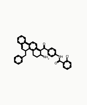 NC1CCc2c3c(ccc2=C1C(=O)c1ccc(NC(=O)c2ccccc2Cl)cc1)=c1ccccc1=CC3Cc1ccccc1